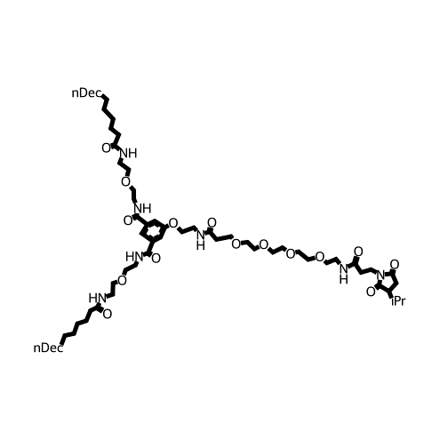 CCCCCCCCCCCCCCCC(=O)NCCOCCNC(=O)c1cc(OCCNC(=O)CCOCCOCCOCCOCCNC(=O)CCN2C(=O)CC(C(C)C)C2=O)cc(C(=O)NCCOCCNC(=O)CCCCCCCCCCCCCCC)c1